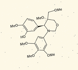 COC[C@@]1(OC)COCN(c2cc(OC)c(OC)c(OC)c2)[C@H]1c1ccc(OC)c(O)c1